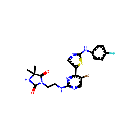 CC1(C)NC(=O)N(CCNc2ncc(Br)c(-c3cnc(Nc4ccc(F)cc4)s3)n2)C1=O